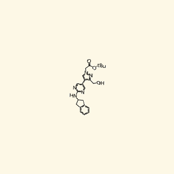 CC(C)(C)OC(=O)Cn1cc(-c2cnc(NC3Cc4ccccc4C3)nc2)c(CO)n1